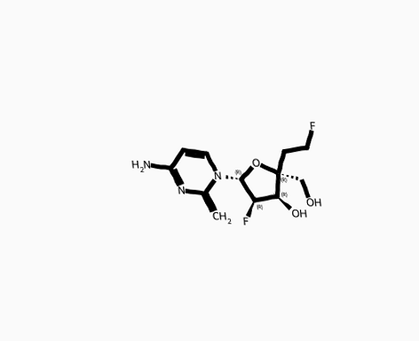 C=C1N=C(N)C=CN1[C@@H]1O[C@@](CO)(CCF)[C@@H](O)[C@H]1F